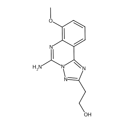 COc1cccc2c1nc(N)n1nc(CCO)nc21